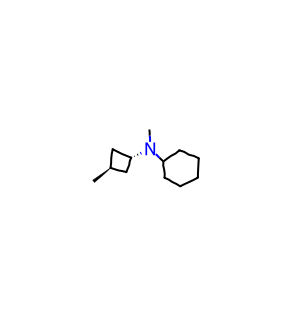 CN(C1CCCCC1)[C@H]1C[C@H](C)C1